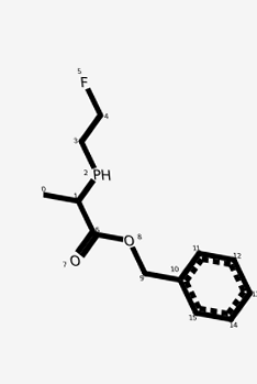 CC(PCCF)C(=O)OCc1ccccc1